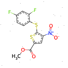 COC(=O)c1cc([N+](=O)[O-])c(Sc2ccc(F)cc2F)s1